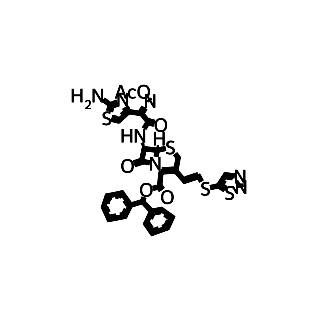 CC(=O)O/N=C(/C(=O)N[C@@H]1C(=O)N2C(C(=O)OC(c3ccccc3)c3ccccc3)=C(/C=C/Sc3cnns3)CS[C@H]12)c1csc(N)n1